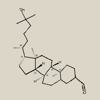 C[C@H](CCCC(C)(C)O)[C@H]1CC[C@H]2[C@@H]3CCC4CC(C=O)CC[C@]4(C)[C@H]3CC[C@]12C